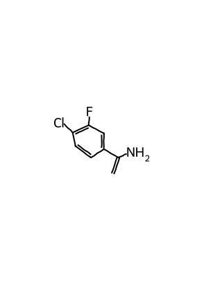 C=C(N)c1ccc(Cl)c(F)c1